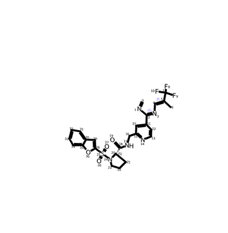 C=N/C(=N\C=C(/C)C(F)(F)F)c1ccnc(CNC(=O)[C@@H]2CCCN2S(=O)(=O)c2cc3ccccc3o2)c1